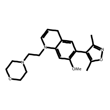 COc1cc2c(cc1-c1c(C)noc1C)CC=CN2CCN1CCOCC1